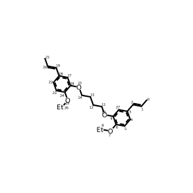 C/C=C/c1ccc(OCC)c(OCCCCOc2cc(/C=C/C)ccc2OCC)c1